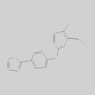 CC(C)Cc1cc(Oc2ccc(-c3nnn[nH]3)cc2)ccc1C(C)C